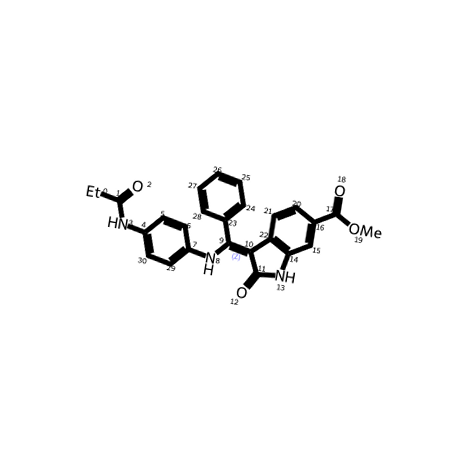 CCC(=O)Nc1ccc(N/C(=C2\C(=O)Nc3cc(C(=O)OC)ccc32)c2ccccc2)cc1